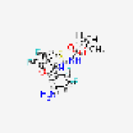 CC(C)(C)OC(=O)NC1=N[C@@]2(c3cc(N)cc(F)c3F)CO[C@H](C(F)F)[C@H]2CS1